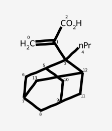 C=C(C(=O)O)C1(CCC)C2CC3CC(C2)CC1C3